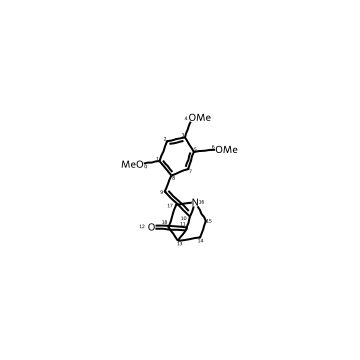 COc1cc(OC)c(OC)cc1C=C1C(=O)C2CCN1CC2